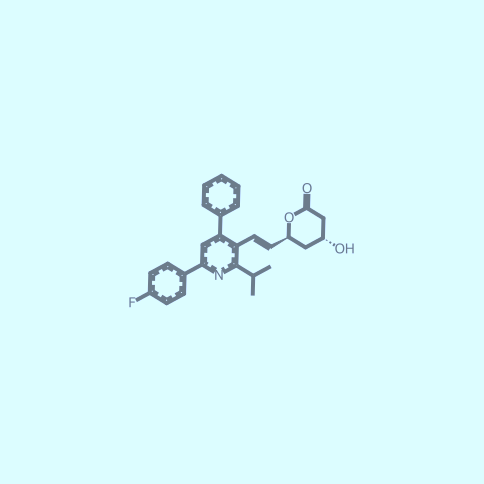 CC(C)c1nc(-c2ccc(F)cc2)cc(-c2ccccc2)c1/C=C/[C@@H]1C[C@@H](O)CC(=O)O1